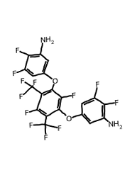 Nc1cc(Oc2c(F)c(Oc3cc(N)c(F)c(F)c3)c(C(F)(F)F)c(F)c2C(F)(F)F)cc(F)c1F